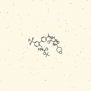 C[C@@H](NC(=O)c1noc(C2CCOCC2)n1)c1ccc(-c2cc(C(F)(F)F)ccc2CNC(=O)OC(C)(C)C)cc1